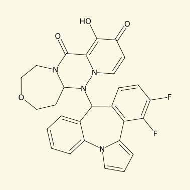 O=C1c2c(O)c(=O)ccn2N(C2c3ccccc3-n3cccc3-c3c2ccc(F)c3F)C2CCOCCN12